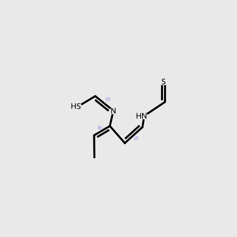 C/C=C(\C=C/NC=S)/N=C\S